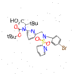 CC(C)(C)OC(=O)N(c1cccc(CN(Cc2ccc(Br)cc2)S(=O)(=O)c2ccccn2)n1)C(C(=O)O)C(C)(C)C